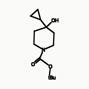 CC(C)(C)OC(=O)N1CCC(O)(C2CC2)CC1